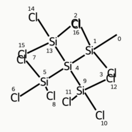 C[Si](Cl)(Cl)[Si]([Si](Cl)(Cl)Cl)([Si](Cl)(Cl)Cl)[Si](Cl)(Cl)Cl